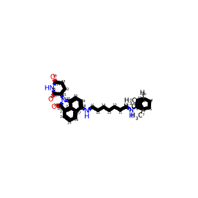 CC1(C)[C@@H]2CC[C@@]1(C)[C@@H](NCCCCCCCNc1ccc3c4c(cccc14)C(=O)N3C1CCC(=O)NC1=O)C2